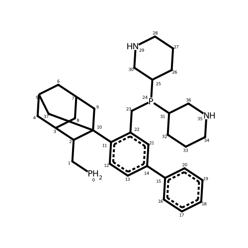 PCC1C2CC3CC(C2)CC1(c1ccc(-c2ccccc2)cc1CP(C1CCCNC1)C1CCCNC1)C3